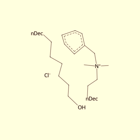 CCCCCCCCCCCCCCCCO.CCCCCCCCCCCC[N+](C)(C)Cc1ccccc1.[Cl-]